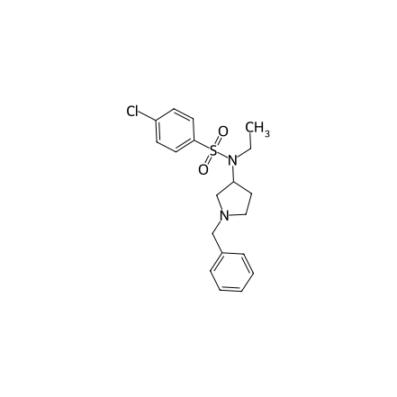 CCN(C1CCN(Cc2ccccc2)C1)S(=O)(=O)c1ccc(Cl)cc1